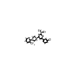 CCN(CC)c1nc(-c2cccc(Cl)c2)cc(N2CCN(c3ncccc3C(F)(F)F)CC2)n1